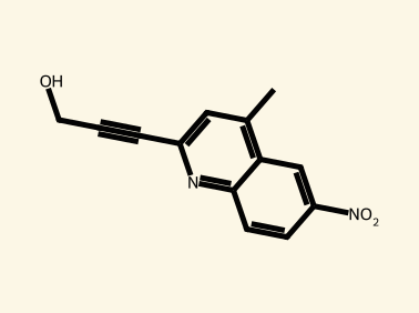 Cc1cc(C#CCO)nc2ccc([N+](=O)[O-])cc12